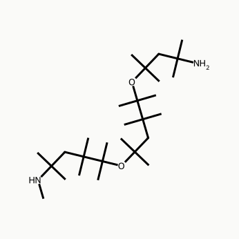 CNC(C)(C)CC(C)(C)C(C)(C)OC(C)(C)CC(C)(C)C(C)(C)OC(C)(C)CC(C)(C)N